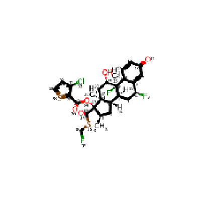 C[C@@H]1C[C@H]2[C@@H]3C[C@H](F)C4=CC(=O)C=C[C@]4(C)[C@@]3(F)[C@@H](O)C[C@]2(C)[C@@]1(OC(=O)c1sccc1Cl)C(=O)SCF